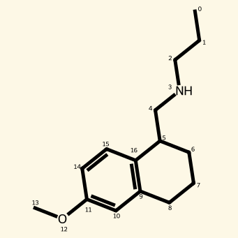 CCCNCC1CCCc2cc(OC)ccc21